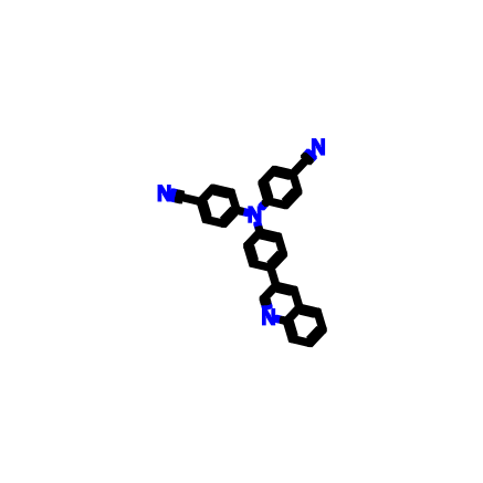 N#Cc1ccc(N(c2ccc(C#N)cc2)c2ccc(-c3cnc4ccccc4c3)cc2)cc1